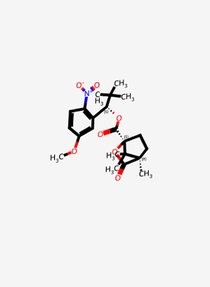 COc1ccc([N+](=O)[O-])c([C@@H](OC(=O)[C@@]23CC[C@@](C)(C(=O)O2)C3(C)C)C(C)(C)C)c1